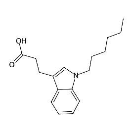 CCCCCCn1cc(CCC(=O)O)c2ccccc21